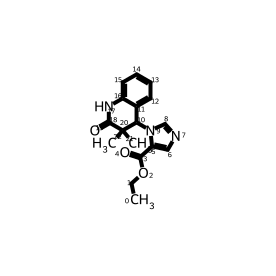 CCOC(=O)c1cncn1C1c2ccccc2NC(=O)C1(C)C